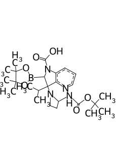 CC(C)C1(N2CCC2NC(=O)OC(C)(C)C)c2ncccc2N(C(=O)O)C1B1OC(C)(C)C(C)(C)O1